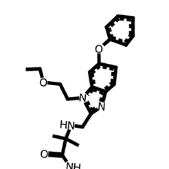 CCOCCn1c(CNC(C)(C)C(N)=O)nc2ccc(Oc3ccccc3)cc21